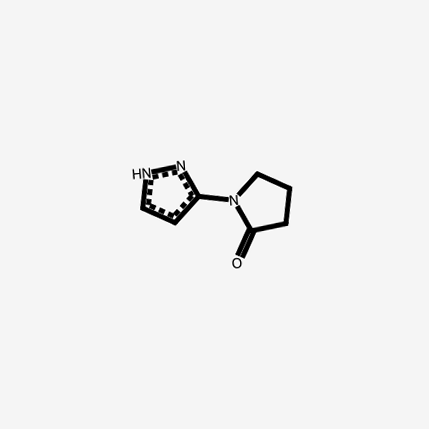 O=C1CCCN1c1cc[nH]n1